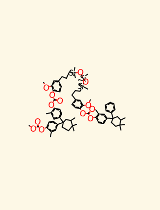 COC(=O)Oc1ccc(C2(c3ccc(OC(=O)Oc4ccc(CCC[Si](C)(C)O[Si](C)(C)O[Si](C)(C)CCCc5ccc(OC(=O)Oc6ccc(C7(c8ccccc8)CCC(C)(C)C(C)C7)cc6C)c(OC)c5)cc4OC)c(C)c3)CCC(C)(C)C(C)C2)cc1C